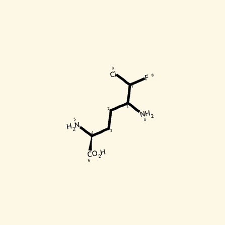 NC(CC[C@H](N)C(=O)O)C(F)Cl